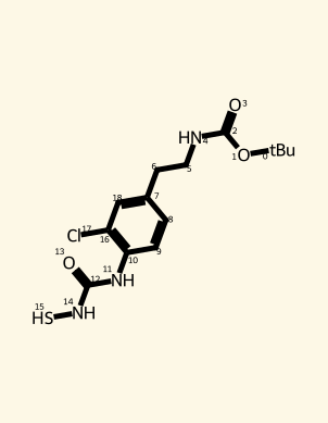 CC(C)(C)OC(=O)NCCc1ccc(NC(=O)NS)c(Cl)c1